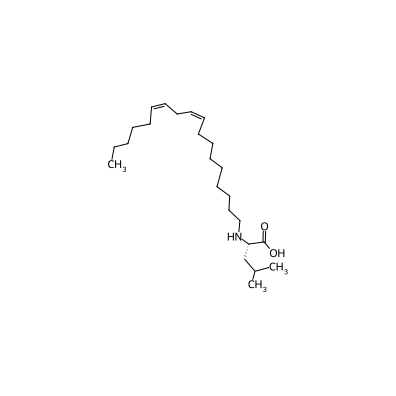 CCCCC/C=C\C/C=C\CCCCCCCCN[C@@H](CC(C)C)C(=O)O